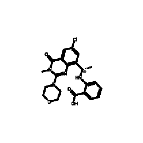 C[C@H](Nc1ccccc1C(=O)O)c1cc(Cl)cc2c(=O)n(C)c(N3CCOCC3)nc12